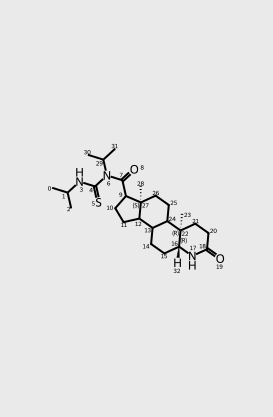 CC(C)NC(=S)N(C(=O)C1CCC2C3CC[C@H]4NC(=O)CC[C@]4(C)C3CC[C@]12C)C(C)C